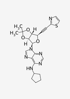 CC1(C)O[C@H]2[C@H](O1)[C@@H](C#Cc1nccs1)O[C@H]2n1cnc2c(NC3CCCC3)ncnc21